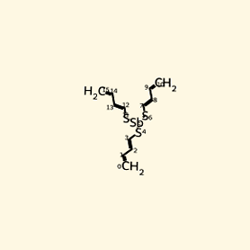 C=CC=C[S][Sb]([S]C=CC=C)[S]C=CC=C